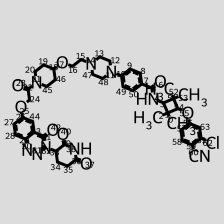 CC1(C)C(NC(=O)c2ccc(N3CCN(CCOC4CCN(C(=O)COc5ccc6nnn(C7CCC(=O)NC7=O)c(=O)c6c5)CC4)CC3)cc2)C(C)(C)C1Oc1ccc(C#N)c(Cl)c1